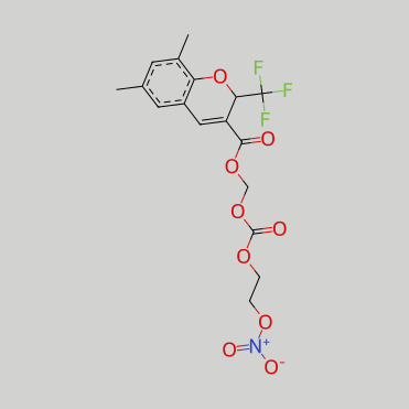 Cc1cc(C)c2c(c1)C=C(C(=O)OCOC(=O)OCCO[N+](=O)[O-])C(C(F)(F)F)O2